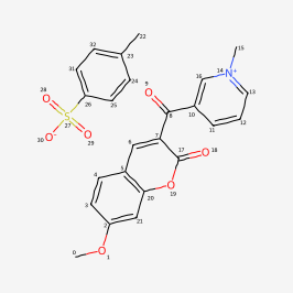 COc1ccc2cc(C(=O)c3ccc[n+](C)c3)c(=O)oc2c1.Cc1ccc(S(=O)(=O)[O-])cc1